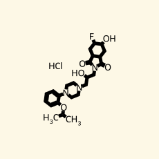 CC(C)Oc1ccccc1N1CCN(CC(O)CN2C(=O)C3CC(O)C(F)CC3C2=O)CC1.Cl